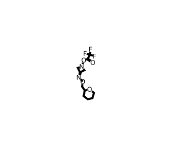 O=C(ON1CC(=NOCC2CCCCO2)C1)C(F)(F)F